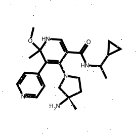 COC1(C)NC=C(C(=O)NC(C)C2CC2)C(N2CC[C@](C)(N)C2)=C1c1ccncc1